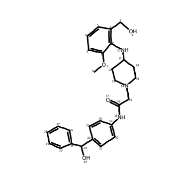 COc1cccc(CO)c1NC1CCN(CC(=O)Nc2ccc(C(O)c3ccccc3)cc2)CC1